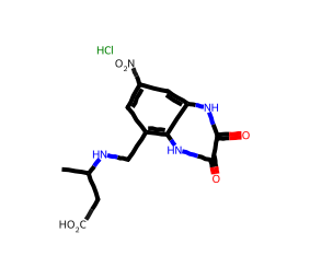 CC(CC(=O)O)NCc1cc([N+](=O)[O-])cc2[nH]c(=O)c(=O)[nH]c12.Cl